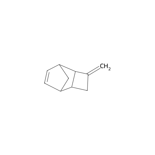 C=C1CC2C3C=CC(C3)C12